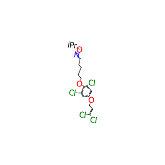 CC(C)ON=CCCCCOc1c(Cl)cc(OCC=C(Cl)Cl)cc1Cl